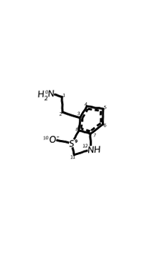 NCCc1cccc2c1[S+]([O-])CN2